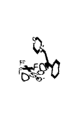 O=C(C[S+]1CCSCC1)C1CCCCC1.O=S(=O)([O-])C(F)(F)F